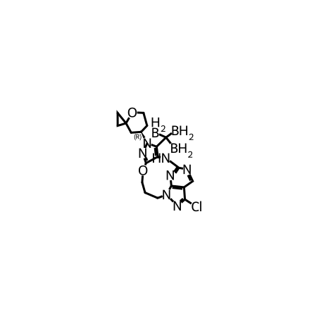 BC(B)(B)c1c2c(nn1[C@@H]1CCOC3(CC3)C1)OCCCn1nc(Cl)c3cnc(nc31)N2